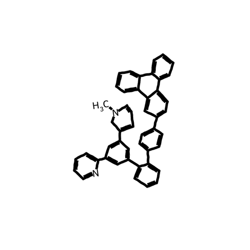 CN1C=CC=C(c2cc(-c3ccccn3)cc(-c3ccccc3-c3ccc(-c4ccc5c6ccccc6c6ccccc6c5c4)cc3)c2)C1